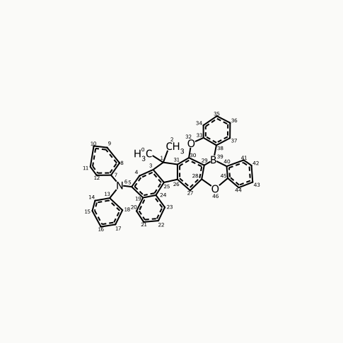 CC1(C)c2cc(N(c3ccccc3)c3ccccc3)c3ccccc3c2-c2cc3c4c(c21)Oc1ccccc1B4c1ccccc1O3